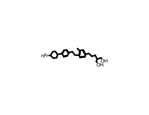 CCCC1CCC(c2ccc(CCc3ccc(CCCC(CO)CO)cc3C)cc2)CC1